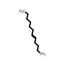 [CH2]CCCC=CCCCC[CH]C